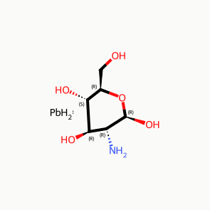 N[C@@H]1[C@@H](O)[C@H](O)[C@@H](CO)O[C@H]1O.[PbH2]